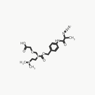 CC(N=[N+]=[N-])C(=O)Nc1ccc(COC(=O)N(CCN(C)C)COCC(=O)O)cc1